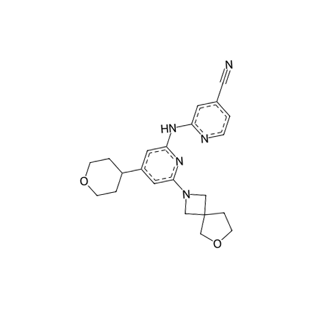 N#Cc1ccnc(Nc2cc(C3CCOCC3)cc(N3CC4(CCOC4)C3)n2)c1